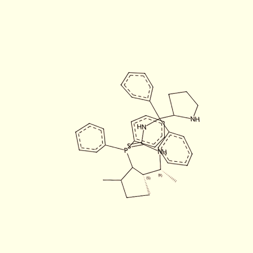 CC1CC[C@@H]([C@@H](C)NC(=S)NC(c2ccccc2)(c2ccccc2)C2CCCN2)C1P(c1ccccc1)c1ccccc1